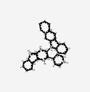 c1ccc2cc3c(cc2c1)c1ccccc1n3-c1nc2oc3ccccc3c2nc1-c1ccncc1